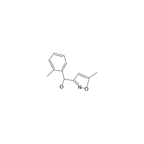 Cc1cc(C([O])c2ccccc2C)no1